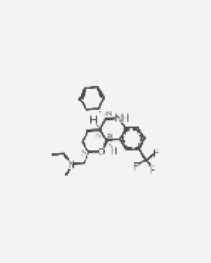 CCN(C)C[C@H]1CC[C@@H]2[C@H](O1)c1cc(C(F)(F)F)ccc1N[C@H]2C1C=CC=CC1